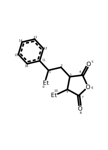 CCC(CC1C(=O)OC(=O)C1CC)c1ccccc1